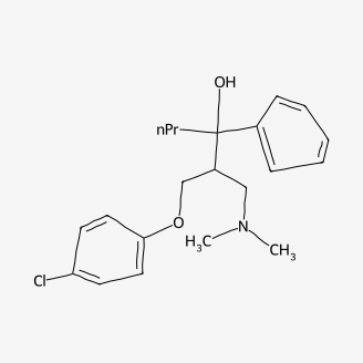 CCCC(O)(c1ccccc1)C(COc1ccc(Cl)cc1)CN(C)C